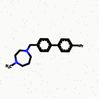 CCCc1ccc(-c2ccc(CN3CCCN(C)CC3)cc2)cc1